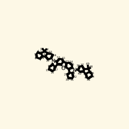 CC1(C)c2ccccc2-c2cc(-n3c4ccccc4c4c5oc6c(ccc7c6c6ccccc6n7-c6ccc7c(c6)-c6ccccc6C7(C)C)c5ccc43)ccc21